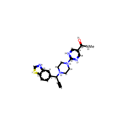 C#CC(c1ccc2scnc2c1)N1CCN(c2ncc(C(=O)NC)cn2)CC1